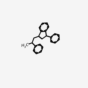 CC(CC1CC(c2ccccc2)c2ccccc21)c1ccccc1